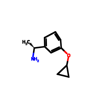 C[C@@H](N)c1cccc(OC2CC2)c1